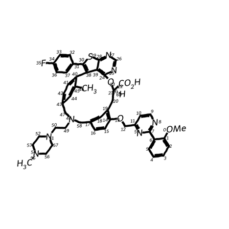 COc1ccccc1-c1nccc(COc2ccc3cc2C[C@H](C(=O)O)Oc2ncnc4sc(-c5ccc(F)cc5)c(c24)-c2ccc(cc2C)CN(CCN2CCN(C)CC2)C3)n1